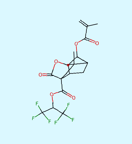 C=C(C)C(=O)OC1C2OC(=O)C3(C(=O)OC(C(F)(F)F)C(F)(F)F)C2CC1C3(C)C